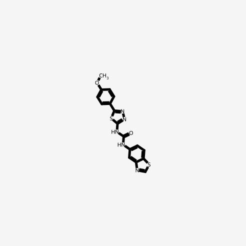 COc1ccc(-c2nnc(NC(=O)Nc3ccc4scnc4c3)s2)cc1